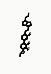 CCCC1CCC2C(CCc3ccc(-c4ccc(OCC)c(F)c4F)cc3F)=CCC12